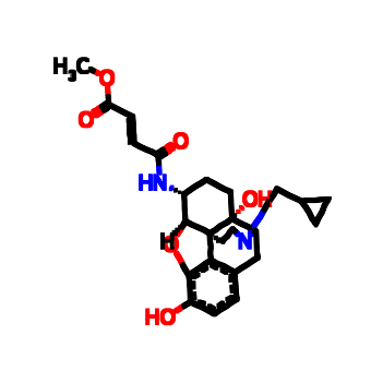 COC(=O)/C=C/C(=O)N[C@@H]1CC[C@@]2(O)C3Cc4ccc(O)c5c4[C@@]2(CCN3CC2CC2)[C@H]1O5